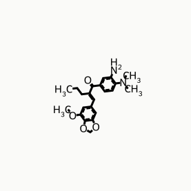 CCC/C(=C\c1cc(OC)c2c(c1)OCO2)C(=O)c1ccc(N(C)C)c(N)c1